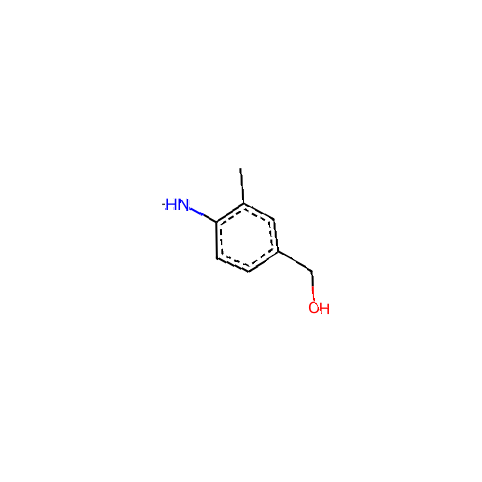 Cc1cc(CO)ccc1[NH]